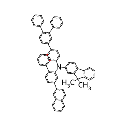 CC1(C)c2ccccc2-c2ccc(N(c3ccc(-c4ccc(-c5ccccc5)c(-c5ccccc5)c4)cc3)c3cc(-c4ccc5ccccc5c4)ccc3-c3ccccc3)cc21